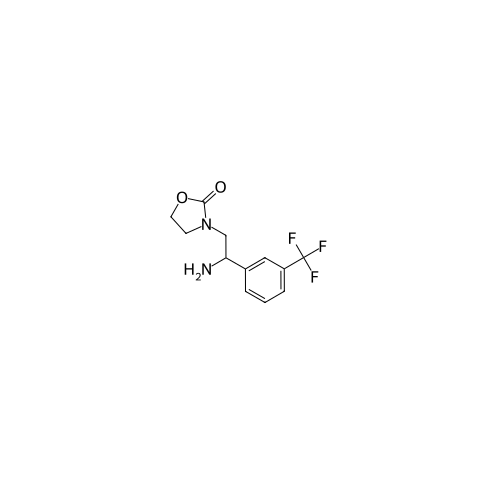 NC(CN1CCOC1=O)c1cccc(C(F)(F)F)c1